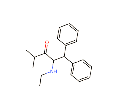 CCNC(C(=O)C(C)C)C(c1ccccc1)c1ccccc1